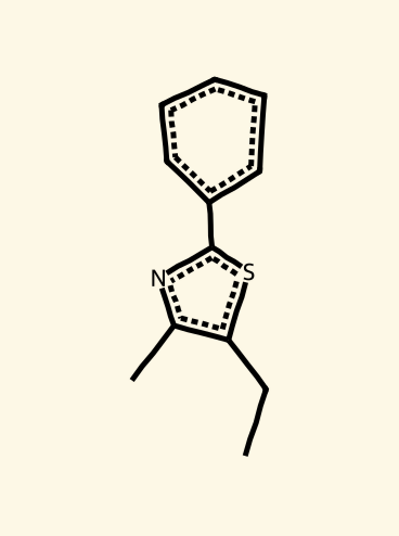 CCc1sc(-c2ccccc2)nc1C